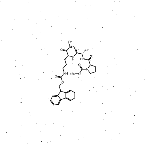 CC(C)NC(=O)[C@H](CCCNC(=O)OCC1c2ccccc2-c2ccccc21)NC(=O)[C@@H](NC(=O)C1CCCN1C(=O)OC(C)(C)C)C(C)C